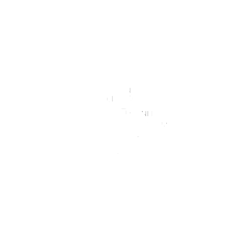 C[SiH](C)[Ti]([Cl])([Cl])([CH]1C=Cc2ccccc21)[CH]1CC2CCC1(C(N)=O)C2